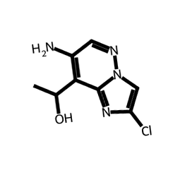 CC(O)c1c(N)cnn2cc(Cl)nc12